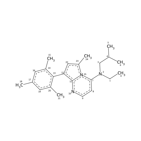 CCN(CC(C)C)c1ccnc2c(-c3c(C)cc(C)cc3C)cc(C)n12